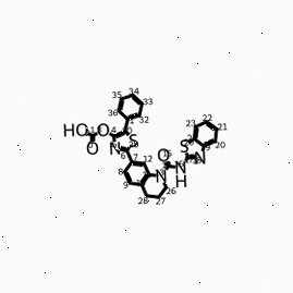 O=C(O)Oc1nc(-c2ccc3c(c2)N(C(=O)Nc2nc4ccccc4s2)CCC3)sc1-c1ccccc1